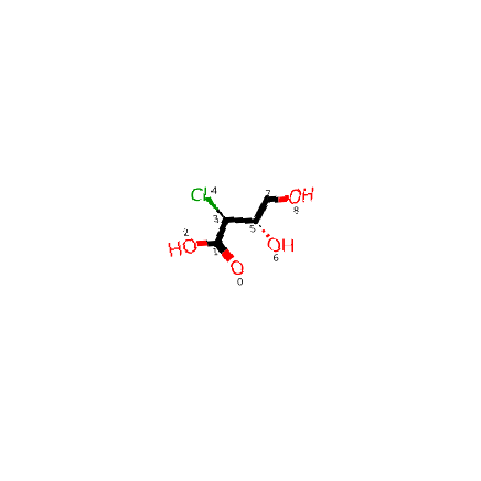 O=C(O)[C@@H](Cl)[C@@H](O)CO